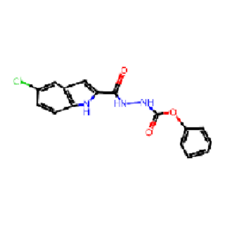 O=C(NNC(=O)c1cc2cc(Cl)ccc2[nH]1)Oc1ccccc1